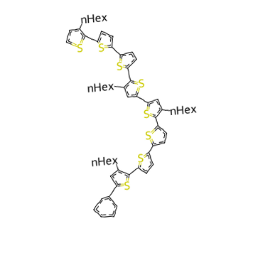 CCCCCCc1ccsc1-c1ccc(-c2ccc(-c3sc(-c4cc(CCCCCC)c(-c5ccc(-c6ccc(-c7sc(-c8ccccc8)cc7CCCCCC)s6)s5)s4)cc3CCCCCC)s2)s1